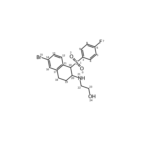 O=S(=O)(c1ccc(F)cc1)C1c2ccc(Br)cc2CCC1NCCO